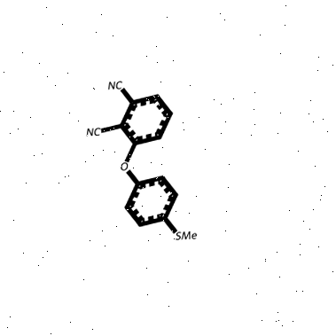 CSc1ccc(Oc2cccc(C#N)c2C#N)cc1